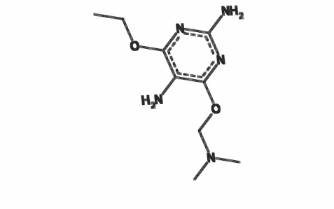 CCOc1nc(N)nc(OCN(C)C)c1N